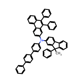 CC1(c2ccccc2)c2ccccc2-c2ccc(N(c3ccc(-c4ccc(-c5ccccc5)cc4)cc3)c3ccc4c(c3)c(-c3ccccc3)c(-c3ccccc3)c3ccccc34)cc21